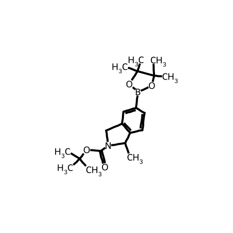 CC1c2ccc(B3OC(C)(C)C(C)(C)O3)cc2CN1C(=O)OC(C)(C)C